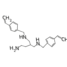 C=Cc1ccc(CNCC(CCN)CNCc2ccc(C=C)cc2)cc1